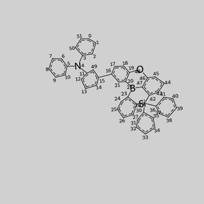 c1ccc(N(c2ccccc2)c2cccc(-c3ccc4c(c3)B3c5ccccc5[Si](c5ccccc5)(c5ccccc5)c5cccc(c53)O4)c2)cc1